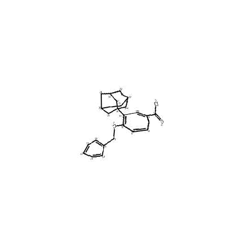 O=C(Cl)c1ccc(OCc2ccccc2)c(C23CC4CC(CC(C4)C2)C3)c1